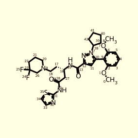 COc1cccc(OC)c1-c1cc(C(=O)N[C@@H](CCN2CCCC(F)(F)C2)CC(=O)Nc2nccs2)nn1C1CCCC1